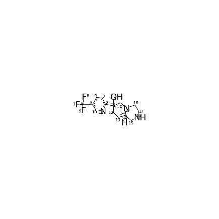 O[C@]1(c2ccc(C(F)(F)F)cn2)CC[C@@H]2CNCCN2C1